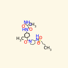 CCCCS(=O)(=O)NC1CCCN(C(=O)c2ccc(NC(=O)[C](C)C(N)=O)cc2C)C1